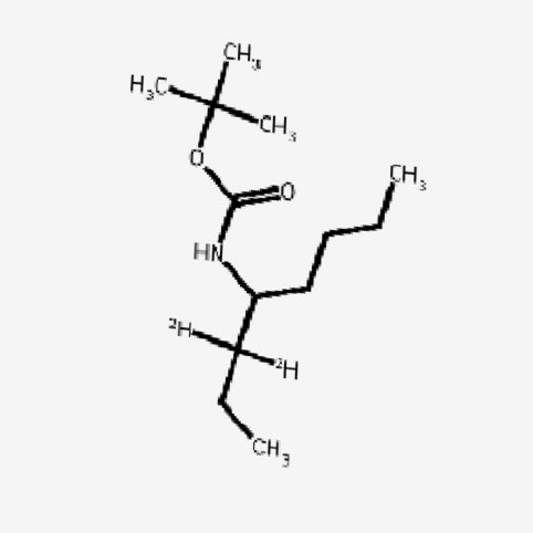 [2H]C([2H])(CC)C(CCCC)NC(=O)OC(C)(C)C